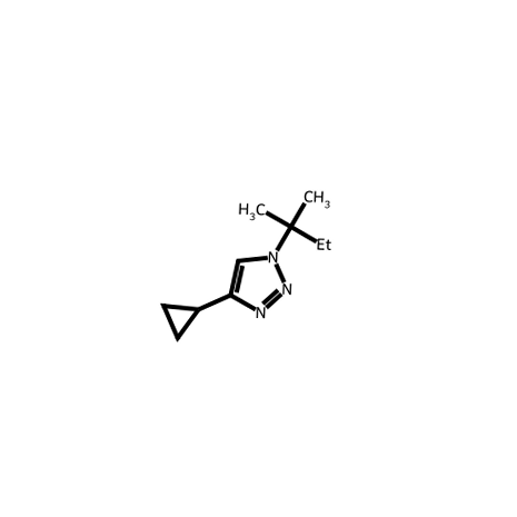 CCC(C)(C)n1cc(C2CC2)nn1